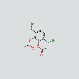 CC(=O)Oc1c(CBr)ccc(CBr)c1OC(C)=O